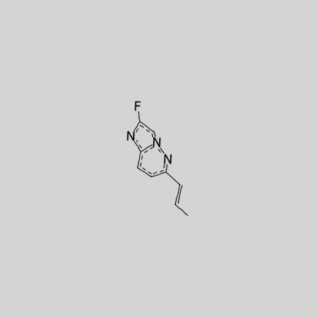 CC=Cc1ccc2nc(F)cn2n1